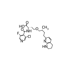 C[C@H](CCc1ccc2c(n1)NCCC2)COCC[C@H](NC(=O)c1c(F)cncc1Cl)C(=O)O